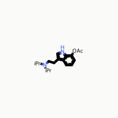 CC(=O)Oc1cccc2c(CCN(C(C)C)C(C)C)c[nH]c12